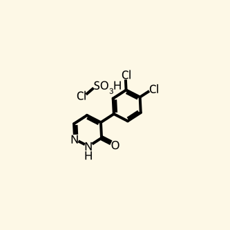 O=S(=O)(O)Cl.O=c1[nH]nccc1-c1ccc(Cl)c(Cl)c1